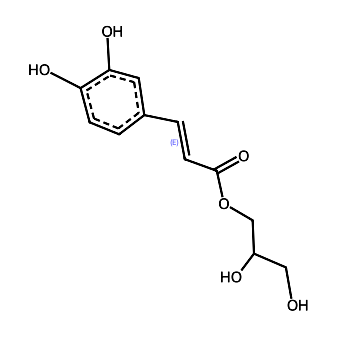 O=C(/C=C/c1ccc(O)c(O)c1)OCC(O)CO